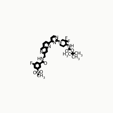 CC(C)(C)OC(=O)NC1CCN(c2nccc(-c3ccc4cnc(CNC(=O)c5cc(F)cc(S(C)(=O)=O)c5)cc4n3)n2)CC1(F)F